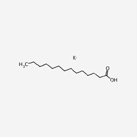 CCCCCCCCCCCCCC(=O)O.[K]